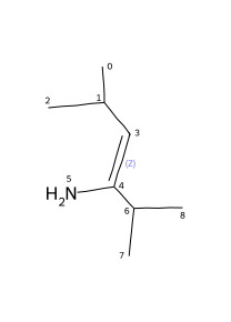 CC(C)/C=C(\N)C(C)C